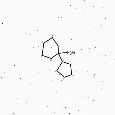 CNC1(C2CCCC2)CCCCC1